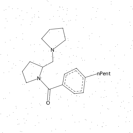 CCCCCc1ccc(C(=O)N2CCCC2CN2CCCC2)cc1